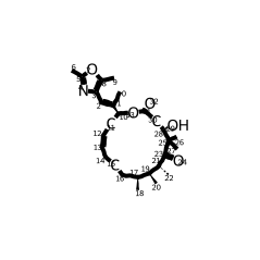 C/C(=C\c1nc(C)oc1C)[C@@H]1C/C=C\CCC[C@H](C)[C@H](C)[C@@H](C)C(=O)C(C)(C)[C@@H](O)CC(=O)O1